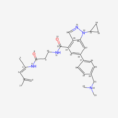 C=C(C)/C=C(/C)NC(=O)CCNC(=O)c1cc(-c2ccc(CN(C)C)cc2)cc2c1cnn2C1CC1